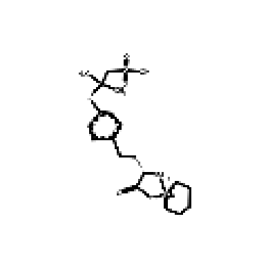 CC(C)(CS(=O)(=O)O)Oc1ccc(CC[C@@H]2[NH2+][B-]3(OC2=O)C2CCCC3CCC2)cc1